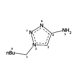 CCCCCn1cc(N)nn1